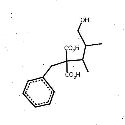 CC(CO)C(C)C(Cc1ccccc1)(C(=O)O)C(=O)O